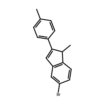 Cc1ccc(C2=Cc3cc(Br)ccc3C2C)cc1